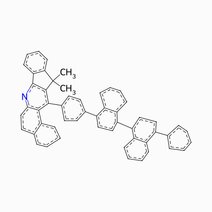 CC1(C)c2ccccc2-c2nc3ccc4ccccc4c3c(-c3ccc(-c4ccc(-c5ccc(-c6ccccc6)c6ccccc56)c5ccccc45)cc3)c21